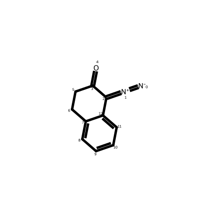 [N-]=[N+]=C1C(=O)CCc2ccccc21